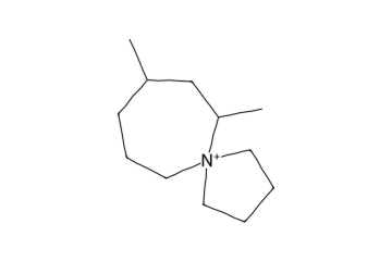 CC1CCC[N+]2(CCCC2)C(C)C1